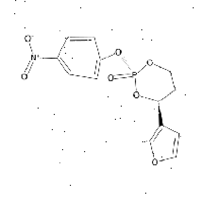 O=[N+]([O-])c1ccc(O[P@]2(=O)OCC[C@@H](c3ccoc3)O2)cc1